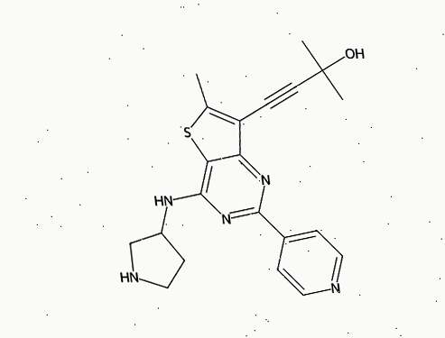 Cc1sc2c(NC3CCNC3)nc(-c3ccncc3)nc2c1C#CC(C)(C)O